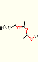 CCOC(C)OC(C)OCC(=O)O